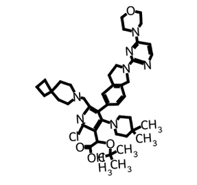 CC1(C)CCN(c2c(-c3ccc4c(c3)CCN(c3nccc(N5CCOCC5)n3)C4)c(CN3CCC4(CCC4)CC3)nc(Cl)c2C(OC(C)(C)C)C(=O)O)CC1